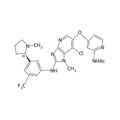 CC(=O)Nc1cc(Oc2cnc3nc(Nc4cc([C@H]5CCCN5C)cc(C(F)(F)F)c4)n(C)c3c2Cl)ccn1